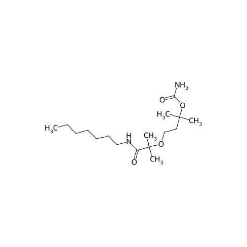 CCCCCCCNC(=O)C(C)(C)OCCC(C)(C)OC(N)=O